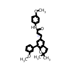 COc1ccc(NC(=O)/C=C/c2cc3c(c(-c4cccc(OC)c4)c2)OC(C)(C)C=C3)cc1